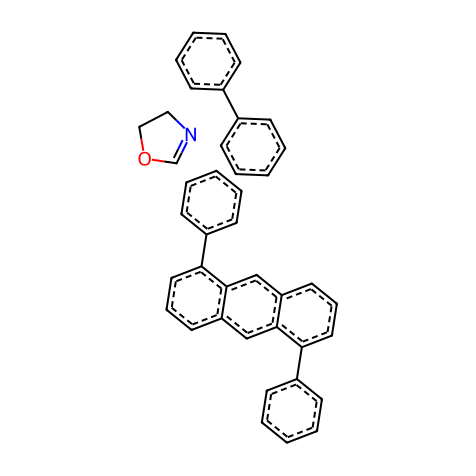 C1=NCCO1.c1ccc(-c2cccc3cc4c(-c5ccccc5)cccc4cc23)cc1.c1ccc(-c2ccccc2)cc1